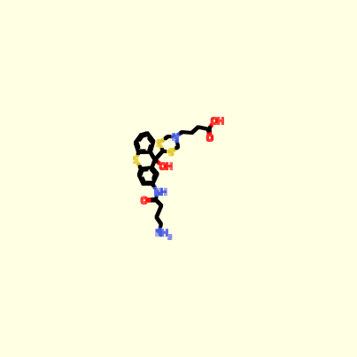 NCCCC(=O)Nc1ccc2c(c1)C(O)(C1SCN(CCCC(=O)O)CS1)c1ccccc1S2